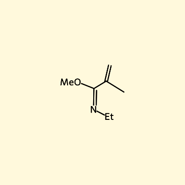 C=C(C)C(=NCC)OC